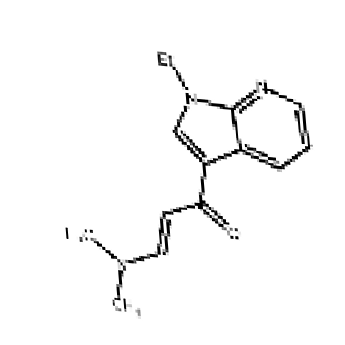 CCn1cc(C(=O)C=CN(C)C)c2cccnc21